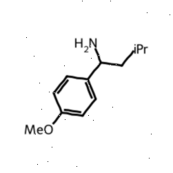 COc1ccc(C(N)CC(C)C)cc1